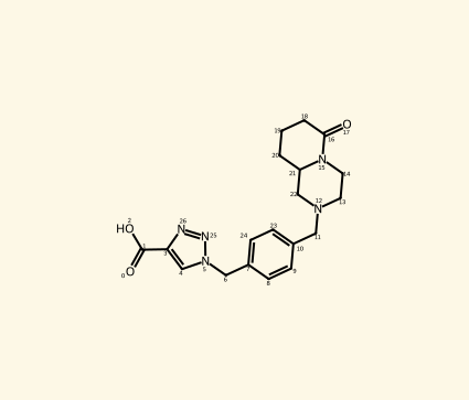 O=C(O)c1cn(Cc2ccc(CN3CCN4C(=O)CCCC4C3)cc2)nn1